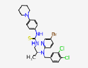 CC(CNC(=S)Nc1ccc(N2CCCCC2)cc1)N(Cc1ccc(Cl)c(Cl)c1)c1ccc(Br)cn1